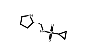 O=S(=O)(NC[C@@H]1CCCN1)C1CC1